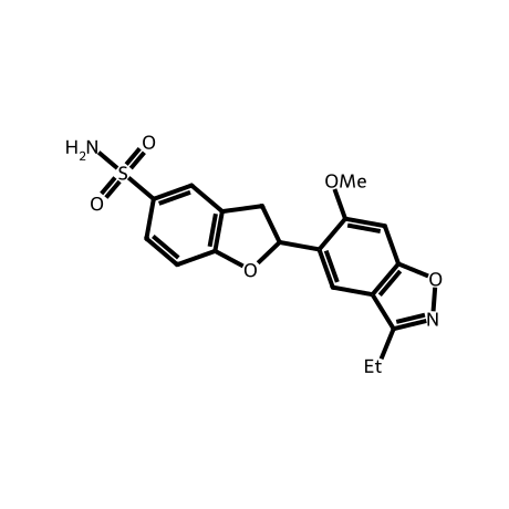 CCc1noc2cc(OC)c(C3Cc4cc(S(N)(=O)=O)ccc4O3)cc12